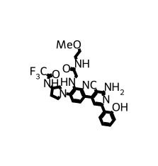 COCCNC(=O)CNc1cc(-c2cc(-c3ccccc3O)nc(N)c2C#N)ccc1N1CCC(NC(=O)C(F)(F)F)C1